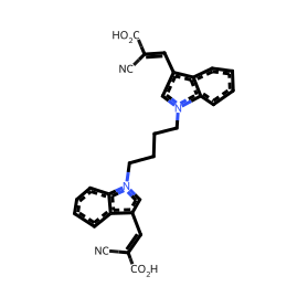 N#C/C(=C\c1cn(CCCCn2cc(/C=C(\C#N)C(=O)O)c3ccccc32)c2ccccc12)C(=O)O